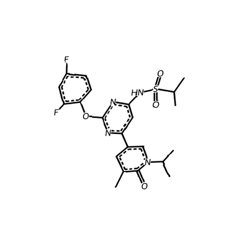 Cc1cc(-c2cc(NS(=O)(=O)C(C)C)nc(Oc3ccc(F)cc3F)n2)cn(C(C)C)c1=O